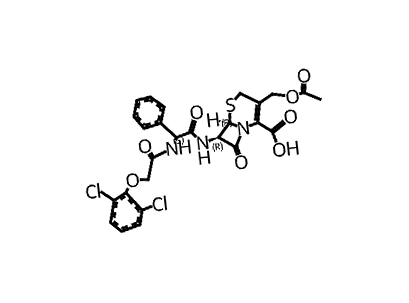 CC(=O)OCC1=C(C(=O)O)N2C(=O)[C@@H](NC(=O)[C@@H](NC(=O)COc3c(Cl)cccc3Cl)c3ccccc3)[C@H]2SC1